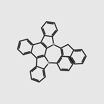 C1=C(n2c3ccccc3c3c4ccccc4c4c5ccccc5n(-c5ccccc5)c4c32)Cc2ccccc21